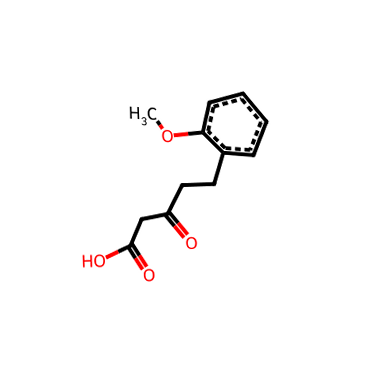 COc1ccccc1CCC(=O)CC(=O)O